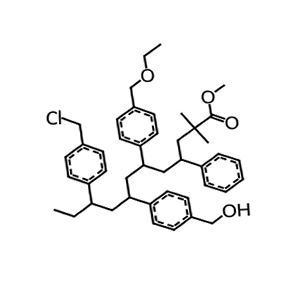 CCOCc1ccc(C(CC(CC(CC)c2ccc(CCl)cc2)c2ccc(CO)cc2)CC(CC(C)(C)C(=O)OC)c2ccccc2)cc1